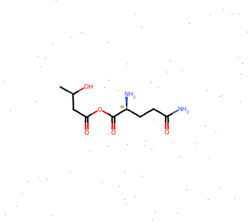 CC(O)CC(=O)OC(=O)[C@@H](N)CCC(N)=O